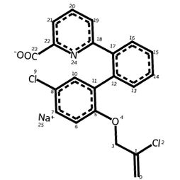 C=C(Cl)COc1ccc(Cl)cc1-c1ccccc1-c1cccc(C(=O)[O-])n1.[Na+]